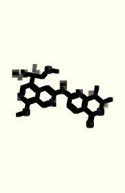 COC[C@](C)(N)c1cnc(OC)c2cnc(Nc3ccc4c(n3)[C@@H](C)[C@@H](C)OC4=O)cc12